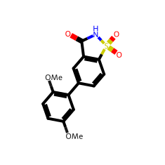 COc1ccc(OC)c(-c2ccc3c(c2)C(=O)NS3(=O)=O)c1